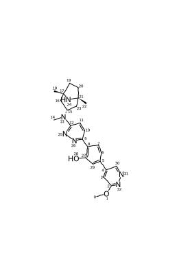 COc1cc(-c2ccc(-c3ccc(N(C)[C@@H]4C[C@]5(C)CC[C@](C)(C4)N5)nn3)c(O)c2)cnn1